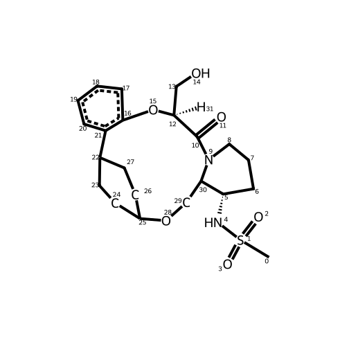 CS(=O)(=O)N[C@H]1CCCN2C(=O)[C@H](CO)Oc3ccccc3C3CCC(CC3)OCC12